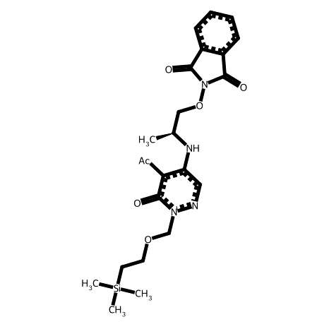 CC(=O)c1c(N[C@@H](C)CON2C(=O)c3ccccc3C2=O)cnn(COCC[Si](C)(C)C)c1=O